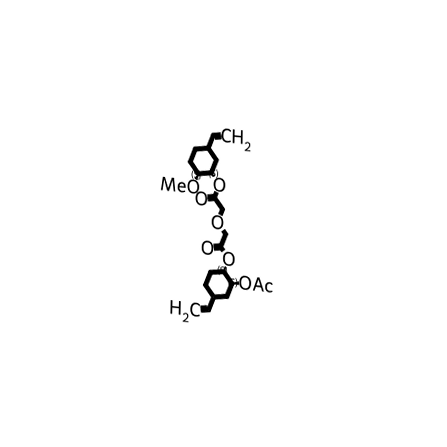 C=CC1CC[C@H](OC(=O)COCC(=O)O[C@H]2CC(C=C)CC[C@@H]2OC)[C@@H](OC(C)=O)C1